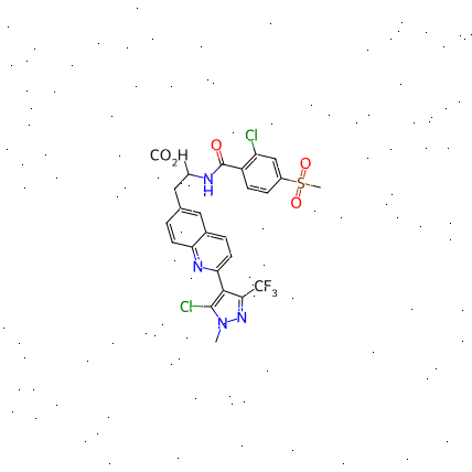 Cn1nc(C(F)(F)F)c(-c2ccc3cc(CC(NC(=O)c4ccc(S(C)(=O)=O)cc4Cl)C(=O)O)ccc3n2)c1Cl